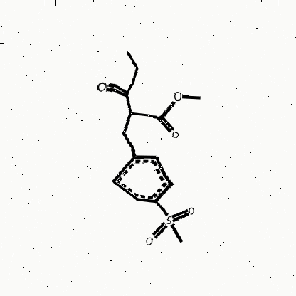 CCC(=O)C(Cc1ccc(S(C)(=O)=O)cc1)C(=O)OC